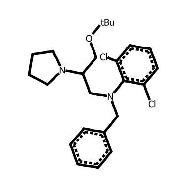 CC(C)(C)OCC(CN(Cc1ccccc1)c1c(Cl)cccc1Cl)N1CCCC1